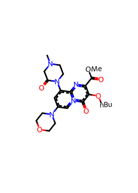 CCCCOc1c(C(=O)OC)nc2c(N3CCN(C)CC3=O)cc(N3CCOCC3)cn2c1=O